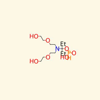 CCC(CC)(O[PH](=O)O)N(CCOCCO)CCOCCO